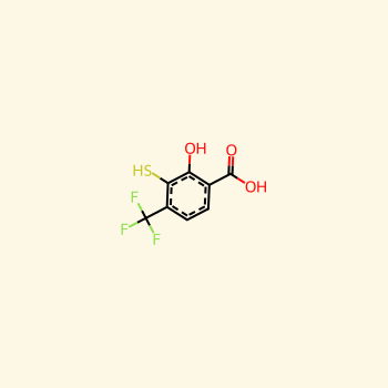 O=C(O)c1ccc(C(F)(F)F)c(S)c1O